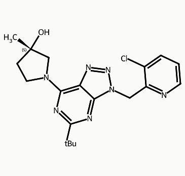 CC(C)(C)c1nc(N2CC[C@](C)(O)C2)c2nnn(Cc3ncccc3Cl)c2n1